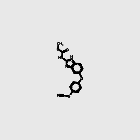 COC(=O)Nc1nc2cc(Oc3ccc(SC#N)cc3)ccc2[nH]1